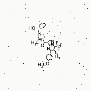 COc1ccc(-c2nc3c(C(=O)N4CCN(C(CO)C5C=COC5)C[C@H]4C)cnn3c(C(F)(F)F)c2C)cc1